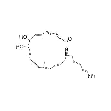 CCC/C=C/C=C/CC1C/C=C/C=C(C)/C=C/C=C/C(O)C(O)/C=C(C)/C=C/C=C/C(=O)N1